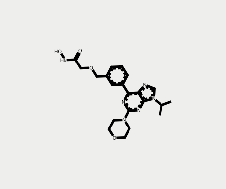 CC(C)n1cnc2c(-c3cccc(COCC(=O)NO)c3)nc(N3CCOCC3)nc21